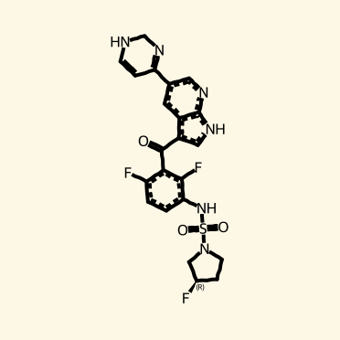 O=C(c1c(F)ccc(NS(=O)(=O)N2CC[C@@H](F)C2)c1F)c1c[nH]c2ncc(C3=NCNC=C3)cc12